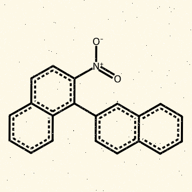 O=[N+]([O-])c1ccc2ccccc2c1-c1[c]c2ccccc2cc1